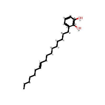 CCCCCCC=CCCCCCCCCCc1cccc(O)c1O